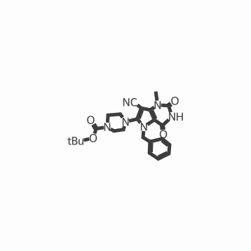 Cn1c(=O)[nH]c(=O)c2c1c(C#N)c(N1CCN(C(=O)OC(C)(C)C)CC1)n2Cc1ccccc1